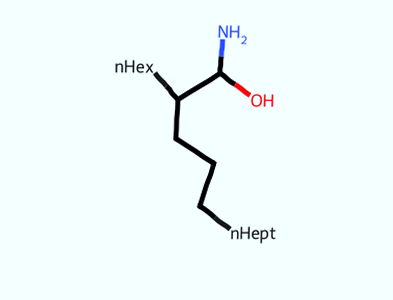 CCCCCCCCCCC(CCCCCC)C(N)O